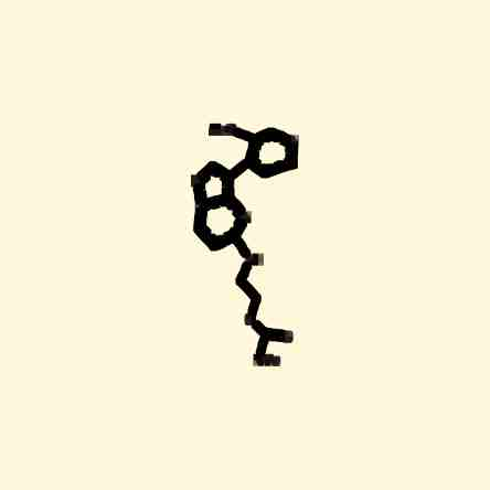 CNC(=O)OCCNc1ccn2ncc(-c3ccncc3OC)c2n1